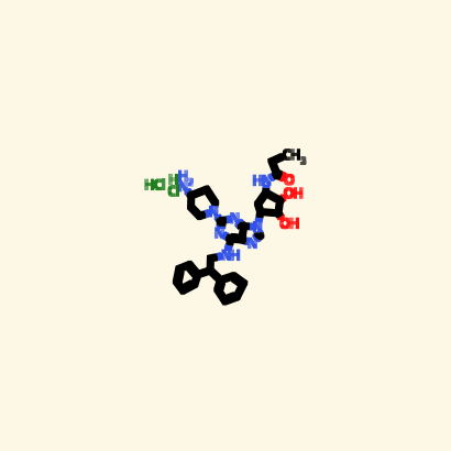 CCC(=O)NC1CC(n2cnc3c(NCC(c4ccccc4)c4ccccc4)nc(N4CCC(N)CC4)nc32)C(O)C1O.Cl.Cl